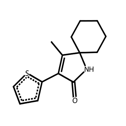 CC1=C(c2cccs2)C(=O)NC12CCCCC2